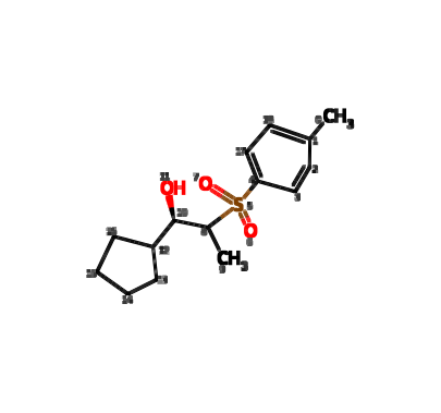 Cc1ccc(S(=O)(=O)C(C)[C@H](O)C2CCCC2)cc1